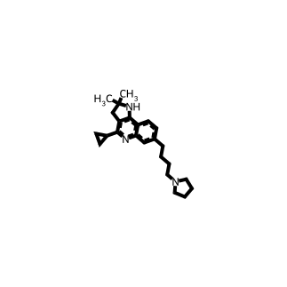 CC1(C)Cc2c(C3CC3)nc3cc(CCCCN4CCCC4)ccc3c2N1